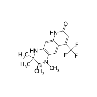 C[C@@H]1N(C)c2cc3c(C(F)(F)F)cc(=O)[nH]c3cc2NC1(C)C